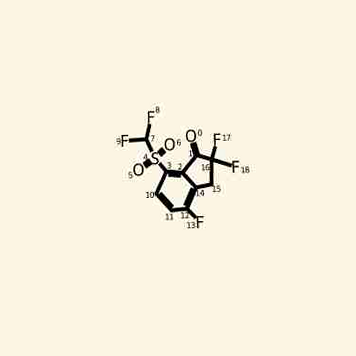 O=C1c2c(S(=O)(=O)C(F)F)ccc(F)c2CC1(F)F